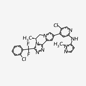 C[C@H]1Cn2cc(-c3cc(Nc4ccnn4C)ncc3Cl)cc2-c2nnc(C(F)(F)c3ccccc3Cl)n21